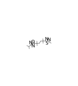 Cc1nnc(C(C)(C)CCC(C)(C)c2nc(C(C)C)no2)s1